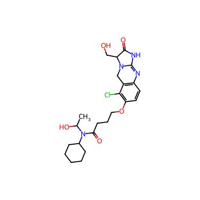 CC(O)N(C(=O)CCCOc1ccc2c(c1Cl)CN1C(=N2)NC(=O)C1CO)C1CCCCC1